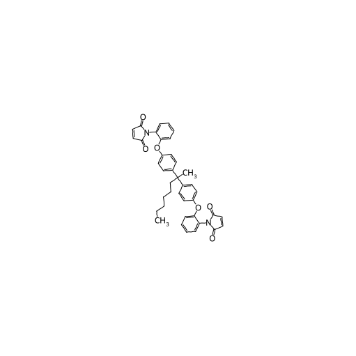 CCCCCCC(C)(c1ccc(Oc2ccccc2N2C(=O)C=CC2=O)cc1)c1ccc(Oc2ccccc2N2C(=O)C=CC2=O)cc1